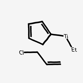 C=CCCl.C[CH2][Ti][C]1=CC=CC1